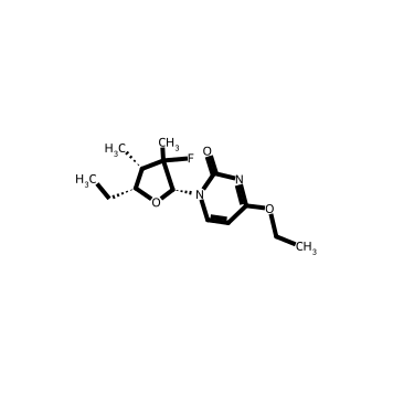 CCOc1ccn([C@@H]2O[C@H](CC)[C@H](C)C2(C)F)c(=O)n1